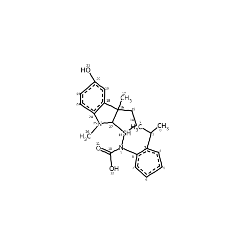 CC(C)c1ccccc1N(C(=O)O)[SH]1CCC2(C)c3cc(O)ccc3N(C)C12